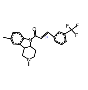 Cc1ccc2c(c1)C1CN(C)CCC1N2C(=O)/C=C/c1cccc(C(F)(F)F)c1